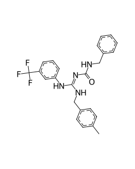 Cc1ccc(CN/C(=N\C(=O)NCc2ccccc2)Nc2cccc(C(F)(F)F)c2)cc1